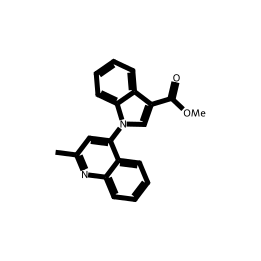 COC(=O)c1cn(-c2cc(C)nc3ccccc23)c2ccccc12